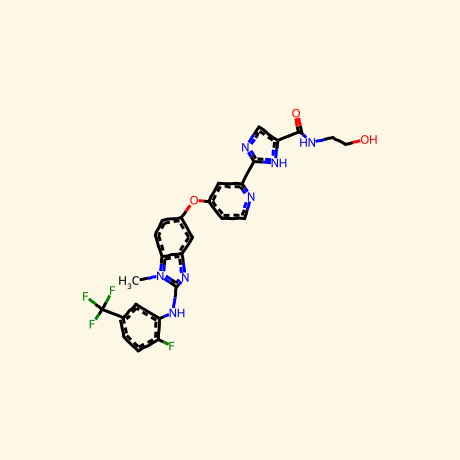 Cn1c(Nc2cc(C(F)(F)F)ccc2F)nc2cc(Oc3ccnc(-c4ncc(C(=O)NCCO)[nH]4)c3)ccc21